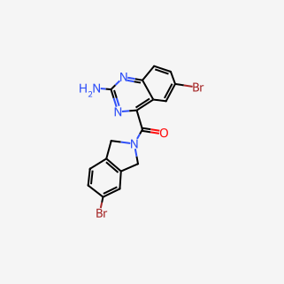 Nc1nc(C(=O)N2Cc3ccc(Br)cc3C2)c2cc(Br)ccc2n1